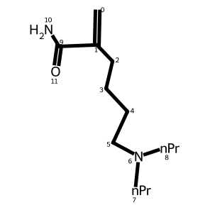 C=C(CCCCN(CCC)CCC)C(N)=O